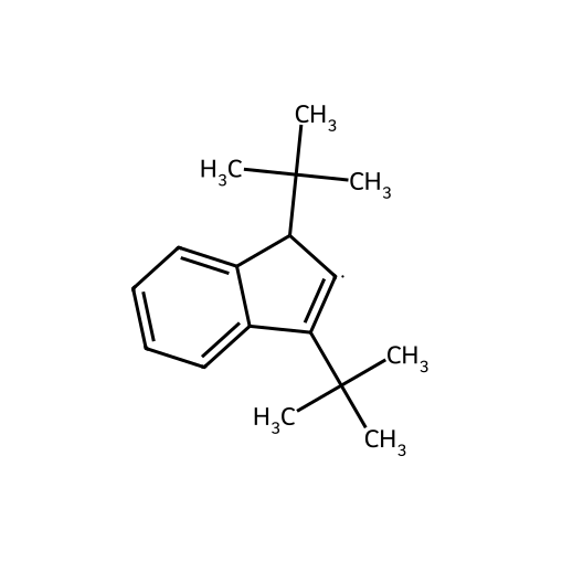 CC(C)(C)C1=[C]C(C(C)(C)C)c2ccccc21